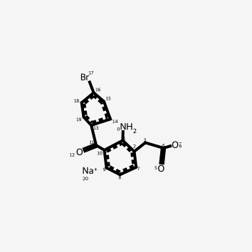 Nc1c(CC(=O)[O-])cccc1C(=O)c1ccc(Br)cc1.[Na+]